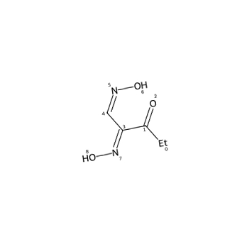 CCC(=O)C(/C=N\O)=N/O